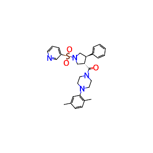 Cc1ccc(C)c(N2CCN(C(=O)[C@@H]3CN(S(=O)(=O)c4cccnc4)C[C@H]3c3ccccc3)CC2)c1